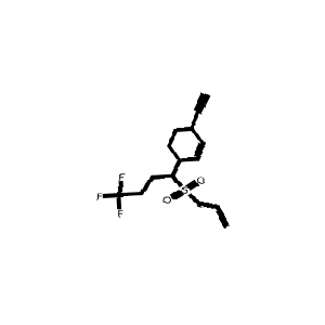 C#CC1C=CC(C(CCC(F)(F)F)S(=O)(=O)CC=C)CC1